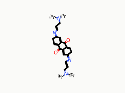 CC(C)N(CC=CN=C1C=C2C(=O)C3=CCC(=NC=CCN(C(C)C)C(C)C)C=C3C(=O)C2=CC1)C(C)C